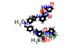 CN(CC1CCC(n2cc3cc(NC(=O)c4cccc(C(F)(F)F)n4)c([Si](C)(C)O)cc3n2)CC1)C1CCC2(CC1)CC(Nc1cccc3c1C(=O)N(C1CCC(=O)NC1=O)C3=O)C2